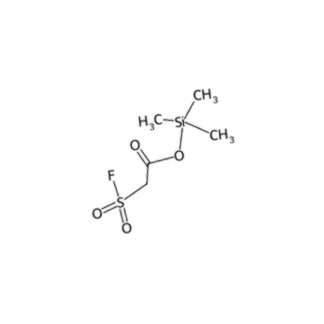 C[Si](C)(C)OC(=O)CS(=O)(=O)F